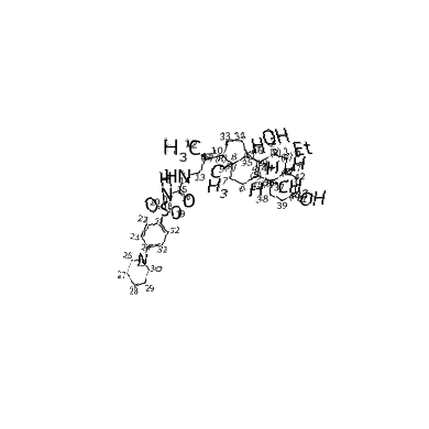 CC[C@H]1[C@@H](O)[C@@H]2[C@H](CC[C@]3(C)[C@@H]([C@H](C)CNC(=O)NS(=O)(=O)c4ccc(N5CCCCC5)cc4)CC[C@@H]23)[C@@]2(C)CC[C@@H](O)C[C@@H]12